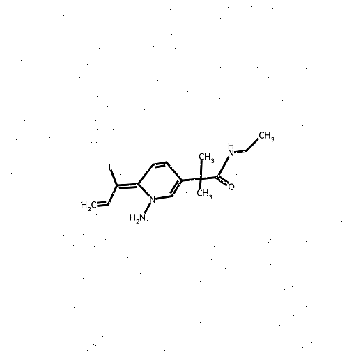 C=C/C(I)=C1/C=CC(C(C)(C)C(=O)NCC)=CN1N